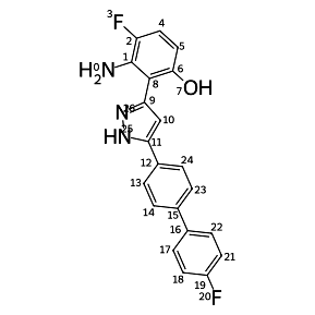 Nc1c(F)ccc(O)c1-c1cc(-c2ccc(-c3ccc(F)cc3)cc2)[nH]n1